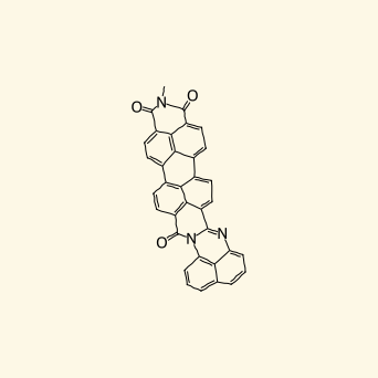 CN1C(=O)c2ccc3c4ccc5c(=O)n6c7cccc8cccc(nc6c6ccc(c9ccc(c2c39)C1=O)c4c56)c87